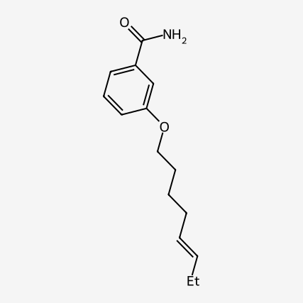 CCC=CCCCCOc1cccc(C(N)=O)c1